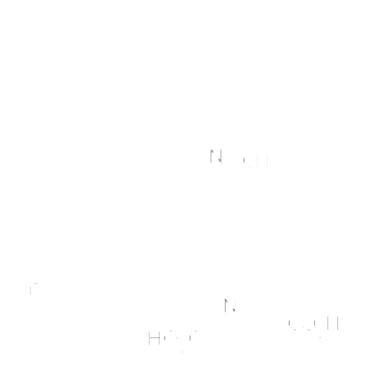 CN(Cc1ccccc1)c1ccc(Cl)cc1CN(C(=O)O)C(=O)O